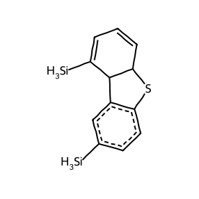 [SiH3]C1=CC=CC2Sc3ccc([SiH3])cc3C12